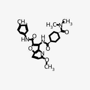 COc1ccc2oc(C(=O)Nc3ccc(C)cc3)c(NC(=O)[C@H]3CC[C@H](C(=O)N(C)C)CC3)c2n1